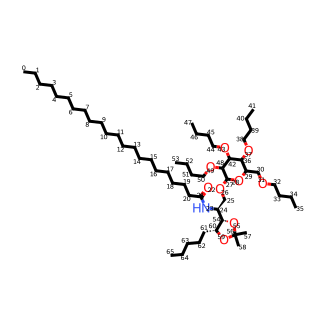 CCCCCCCCCCCCCCCCCCCCCC(=O)N[C@@H](COC1OC(COCCCC)C(OCCCC)C(OCCCC)C1OCCCC)[C@@H]1OC(C)(C)O[C@@H]1CCCCC